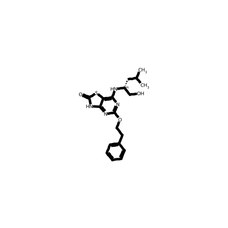 CC(C)C[C@H](CO)Nc1nc(OCCc2ccccc2)nc2[nH]c(=O)sc12